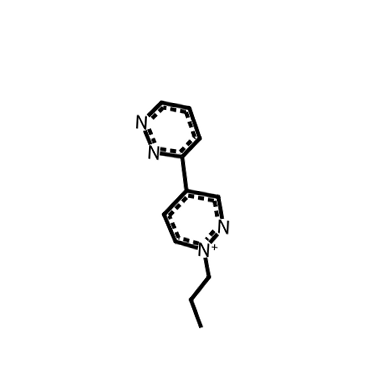 CCC[n+]1ccc(-c2cccnn2)cn1